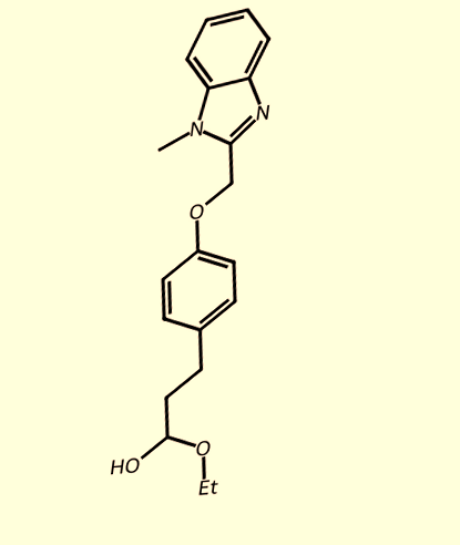 CCOC(O)CCc1ccc(OCc2nc3ccccc3n2C)cc1